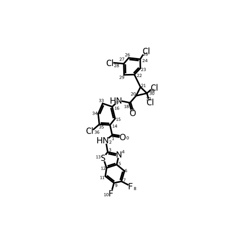 O=C(Nc1nc2cc(F)c(F)cc2s1)c1cc(NC(=O)C2C(c3cc(Cl)cc(Cl)c3)C2(Cl)Cl)ccc1Cl